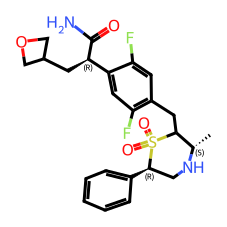 C[C@@H]1NC[C@@H](c2ccccc2)S(=O)(=O)C1Cc1cc(F)c([C@@H](CC2COC2)C(N)=O)cc1F